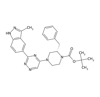 Cc1n[nH]c2ccc(-c3nncc(N4CCN(C(=O)OC(C)(C)C)[C@@H](Cc5ccccc5)C4)n3)cc12